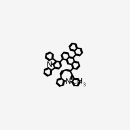 Cc1c2c(-c3cccc4c(-c5cccc6ccccc56)c5cccc(-c6ccc7c8ccccc8n8c9ccccc9c6c78)c5cc34)cc#cc3ccccc3n1c1ccccc21